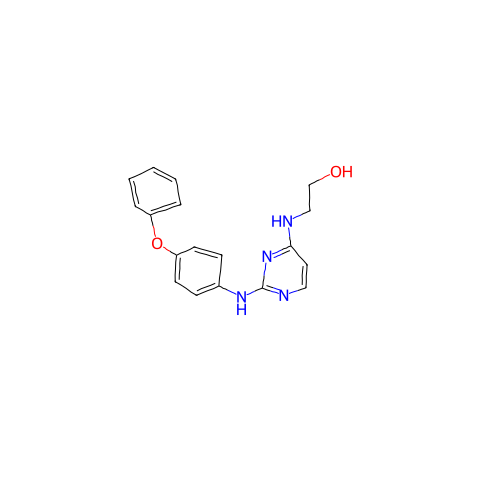 OCCNc1ccnc(Nc2ccc(Oc3ccccc3)cc2)n1